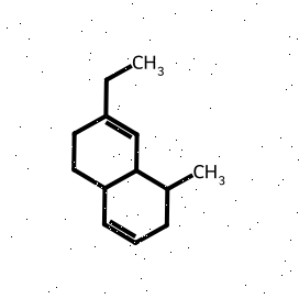 CCC1=CC2C(C)CC=CC2CC1